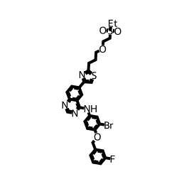 CCS(=O)(=O)CCOCCCc1nc(-c2ccc3ncnc(Nc4ccc(OCc5cccc(F)c5)c(Br)c4)c3c2)cs1